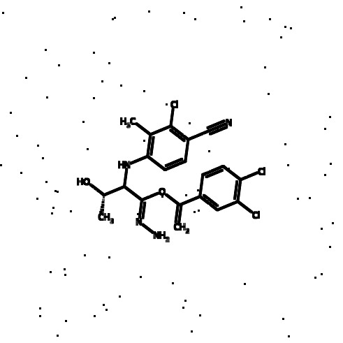 C=C(O/C(=N\N)C(Nc1ccc(C#N)c(Cl)c1C)[C@H](C)O)c1ccc(Cl)c(Cl)c1